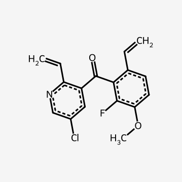 C=Cc1ccc(OC)c(F)c1C(=O)c1cc(Cl)cnc1C=C